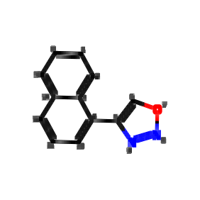 c1ccc2c(-c3conn3)cccc2c1